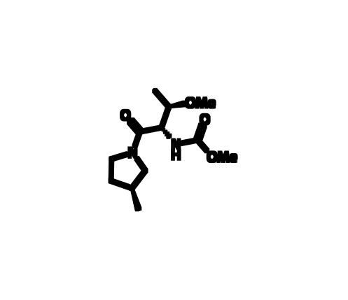 COC(=O)N[C@H](C(=O)N1CC[C@H](C)C1)[C@@H](C)OC